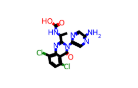 CC(NC(=O)O)c1nc2c(Cl)ccc(Cl)c2c(=O)n1-c1cnc(N)cn1